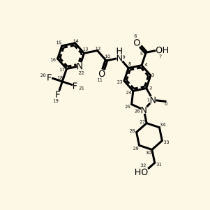 CN1c2cc(C(=O)O)c(NC(=O)Cc3cccc(C(F)(F)F)n3)cc2CN1C1CCC(CO)CC1